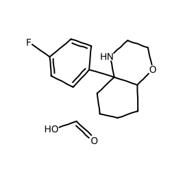 Fc1ccc(C23CCCCC2OCCN3)cc1.O=CO